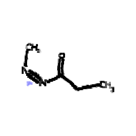 CCC(=O)/N=N\C